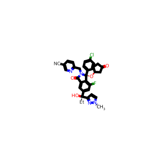 CC[C@](O)(c1cc(F)c2c(c1)C(=O)N(Cc1ccc(C#N)cn1)[C@@]2(O[C@H]1CCC(=O)C1)c1ccc(Cl)cc1)c1ccn(C)n1